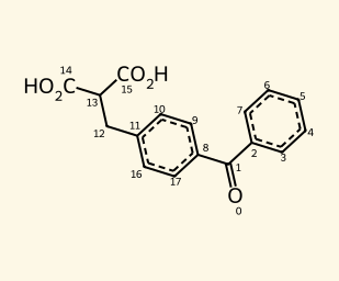 O=C(c1ccccc1)c1ccc(CC(C(=O)O)C(=O)O)cc1